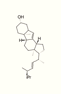 CC(C)[C@@H](C)/C=C/[C@@H](C)[C@H]1CC[C@H]2C3=CC4C[C@@H](O)CC[C@]4(C)[C@H]3CC[C@]12C